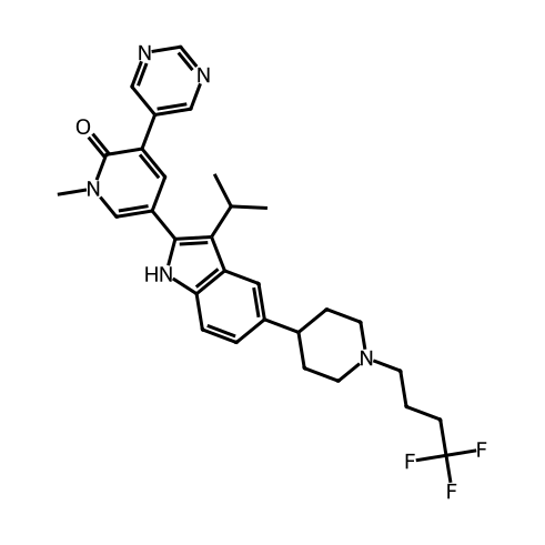 CC(C)c1c(-c2cc(-c3cncnc3)c(=O)n(C)c2)[nH]c2ccc(C3CCN(CCCC(F)(F)F)CC3)cc12